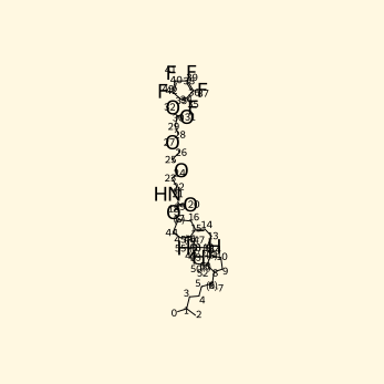 CC(C)CCC[C@@H](C)C1CC[C@H]2[C@@H]3CC=C4C[C@@H](OC(=O)NCCOCCOCCC(=O)Oc5c(F)c(F)c(F)c(F)c5F)CC[C@]4(C)[C@H]3CC[C@]12C